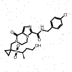 C[C@H](CCO)S(=O)(=O)C1(CN2CCn3c(cnc3C(=O)NCc3ccc(Cl)cc3)C2=O)CC1